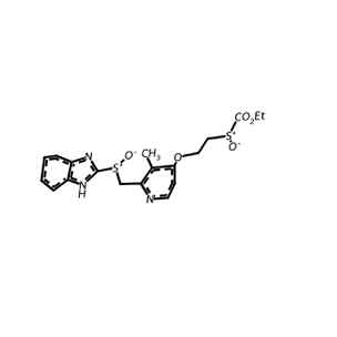 CCOC(=O)[S+]([O-])CCOc1ccnc(C[S+]([O-])c2nc3ccccc3[nH]2)c1C